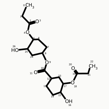 CCC(=O)OC1CCC(OC(=O)C2CCC(O)C(OC(=O)CC)C2)CC1O